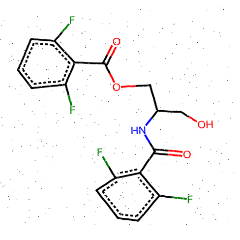 O=C(NC(CO)COC(=O)c1c(F)cccc1F)c1c(F)cccc1F